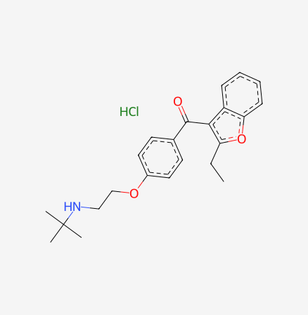 CCc1oc2ccccc2c1C(=O)c1ccc(OCCNC(C)(C)C)cc1.Cl